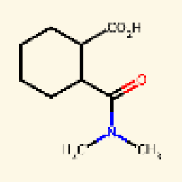 CN(C)C(=O)C1CCCCC1C(=O)O